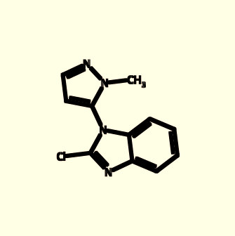 Cn1nccc1-n1c(Cl)nc2ccccc21